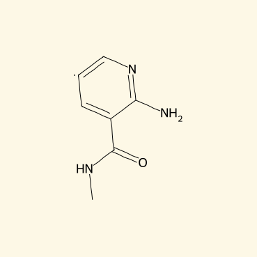 CNC(=O)c1c[c]cnc1N